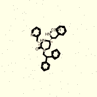 O=C(O)NC(Cc1ccccc1)[C@@H]1CCN(CC(c2ccccc2)c2ccccc2)C(=O)[C@H](Cc2ccccn2)N1